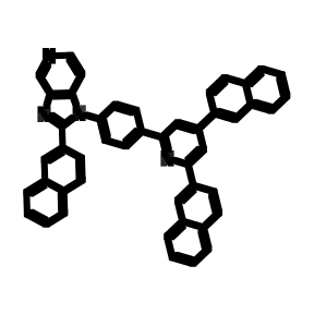 c1ccc2cc(-c3cc(-c4ccc(-n5c(-c6ccc7ccccc7c6)nc6cnccc65)cc4)nc(-c4ccc5ccccc5c4)c3)ccc2c1